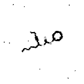 CCC#CC(CCCCC)OC(=O)Oc1ccccc1